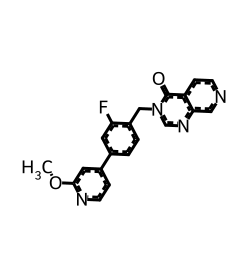 COc1cc(-c2ccc(Cn3cnc4cnccc4c3=O)c(F)c2)ccn1